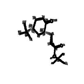 CC(C)(C)OC(=O)CC[C@@H]1C[C@H](C(C)(C)C)CCC1=O